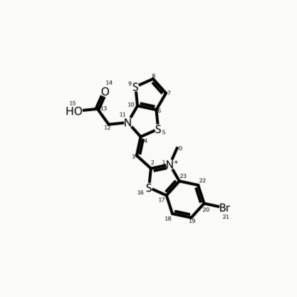 C[n+]1c(C=C2Sc3ccsc3N2CC(=O)O)sc2ccc(Br)cc21